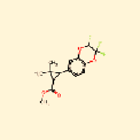 COC(=O)C1C(c2ccc3c(c2)OC(F)C(F)(F)O3)C1(C)C